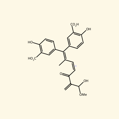 C=C(C(=O)/C=C\C(C)=C(c1ccc(O)c(C(=O)O)c1)c1ccc(O)c(C(=O)O)c1)C(O)OC